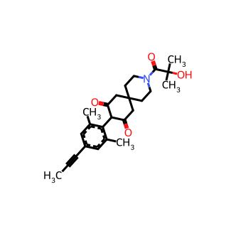 CC#Cc1cc(C)c(C2C(=O)CC3(CCN(C(=O)C(C)(C)O)CC3)CC2=O)c(C)c1